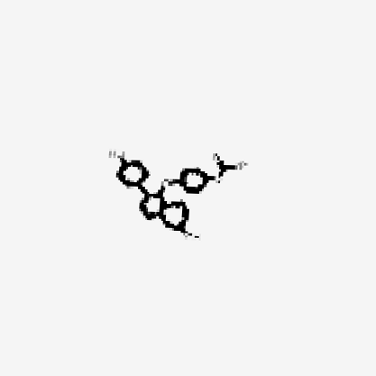 CCCC(=O)Oc1ccc(Oc2c(-c3ccc(O)cc3)ccc3cc(O)ccc23)cc1